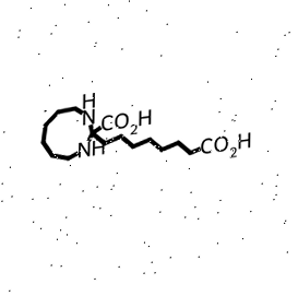 O=C(O)CCCCCCCC1(C(=O)O)NCCCCCCN1